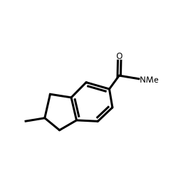 CNC(=O)c1ccc2c(c1)CC(C)C2